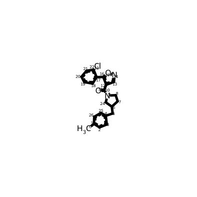 Cc1ccc(CC2CCN(C(=O)c3cnoc3-c3ccccc3Cl)C2)cc1